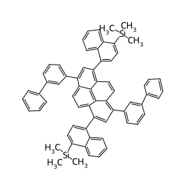 C[Si](C)(C)c1ccc(-c2cc(-c3cccc(-c4ccccc4)c3)c3ccc4c(-c5ccc([Si](C)(C)C)c6ccccc56)cc(-c5cccc(-c6ccccc6)c5)c5ccc2c3c54)c2ccccc12